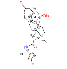 CC[C@H](NC(=O)C[C@@H](C)[C@H]1CC[C@H]2[C@@H]3[C@H](O)C[C@@H]4CC(=O)CC[C@]4(C)[C@H]3CC[C@]12C)c1ccc(Br)s1